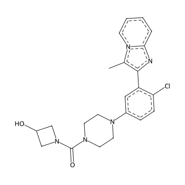 Cc1c(-c2cc(N3CCN(C(=O)N4CC(O)C4)CC3)ccc2Cl)nc2ccccn12